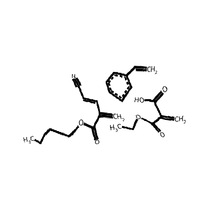 C=C(C(=O)O)C(=O)OCC.C=C(C=CC#N)C(=O)OCCCC.C=Cc1ccccc1